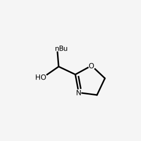 CCCCC(O)C1=NCCO1